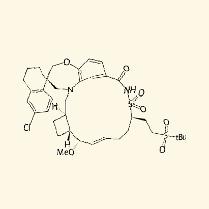 CO[C@H]1/C=C/CC[C@H](CCS(=O)(=O)C(C)(C)C)S(=O)(=O)NC(=O)c2ccc3c(c2)N(C[C@@H]2CC[C@H]21)C[C@@]1(CCCc2cc(Cl)ccc21)CO3